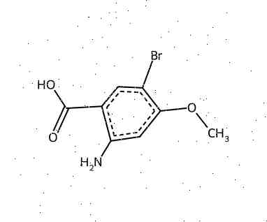 COc1cc(N)c(C(=O)O)cc1Br